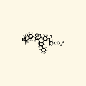 O=C(O)CCNC(=O)c1ccc(C(=O)/C(=C\C(=O)c2ccc3c(c2)OC(F)(F)C(F)(F)O3)c2ccc(C3CCCCC3)cc2)cc1